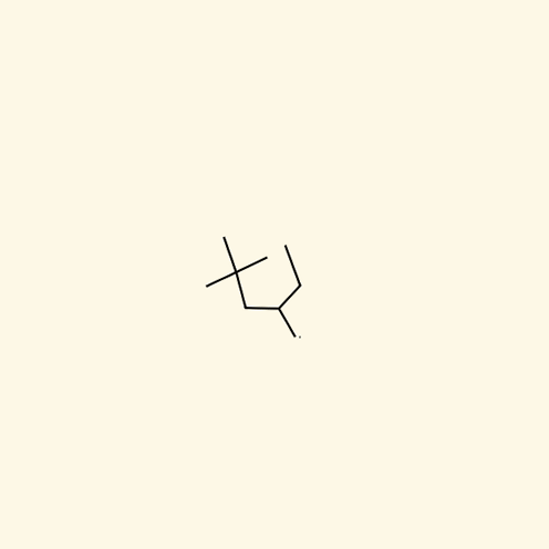 [CH2]C(CC)CC(C)(C)C